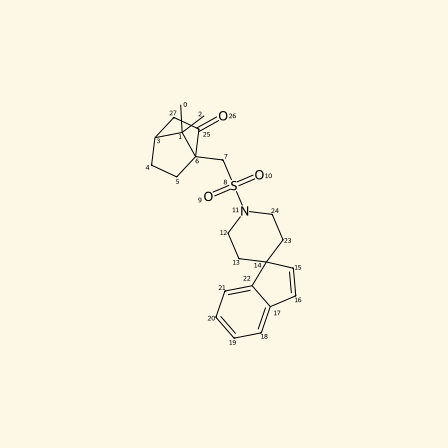 CC1(C)C2CCC1(CS(=O)(=O)N1CCC3(C=Cc4ccccc43)CC1)C(=O)C2